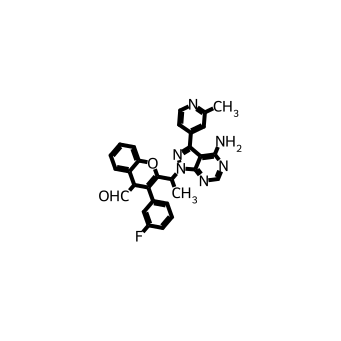 Cc1cc(-c2nn(C(C)C3=C(c4cccc(F)c4)C(C=O)c4ccccc4O3)c3ncnc(N)c23)ccn1